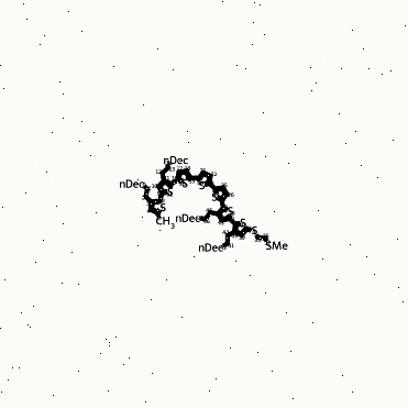 CCCCCCCCCCCCc1cc(C)sc1-c1cc(CCCCCCCCCCCC)c(-c2ccc(-c3ccc(-c4ccc(-c5sc(-c6sc(SCCSC)cc6CCCCCCCCCCCC)cc5CCCCCCCCCCCC)s4)s3)s2)s1